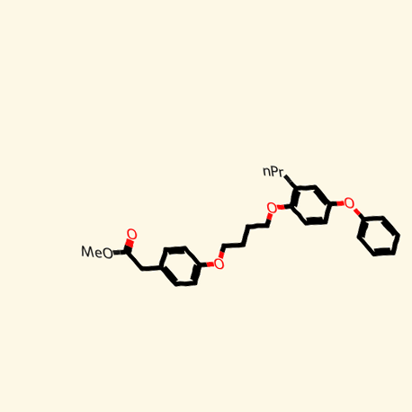 CCCc1cc(Oc2ccccc2)ccc1OCCCCOc1ccc(CC(=O)OC)cc1